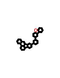 c1cc(-c2ccc3c(c2)-c2cc4ccccc4c4cccc-3c24)cc(-c2ccc3oc4ccccc4c3c2)c1